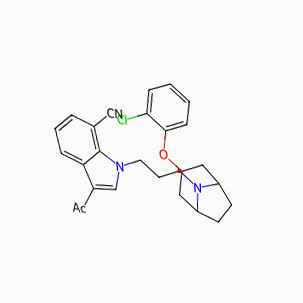 CC(=O)c1cn(CCCN2C3CCC2CC(Oc2ccccc2Cl)C3)c2c(C#N)cccc12